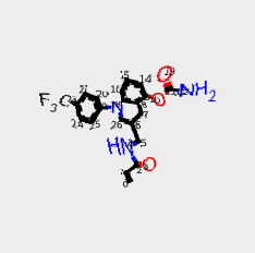 C=CC(=O)NCC1Cc2c(OC(N)=O)cccc2N(c2ccc(C(F)(F)F)cc2)C1